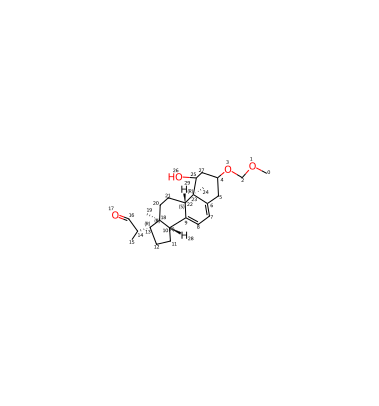 COCOC1CC2=CC=C3[C@@H]4CC[C@H](C(C)C=O)[C@@]4(C)CC[C@@H]3[C@@]2(C)C(O)C1